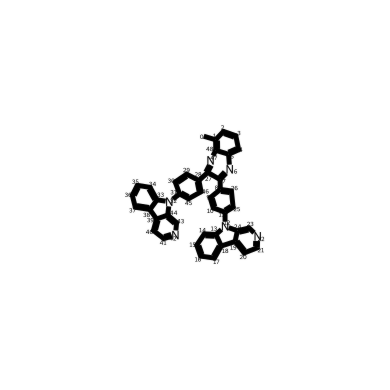 Cc1cccc2nc(-c3ccc(-n4c5ccccc5c5ccncc54)cc3)c(-c3ccc(-n4c5ccccc5c5ccncc54)cc3)nc12